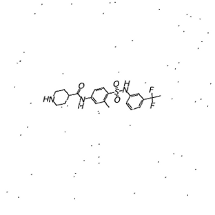 Cc1cc(NC(=O)C2CCNCC2)ccc1S(=O)(=O)Nc1cccc(C(C)(F)F)c1